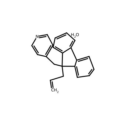 C=CCC1(Cc2ccncc2)c2ccccc2-c2ccccc21.O